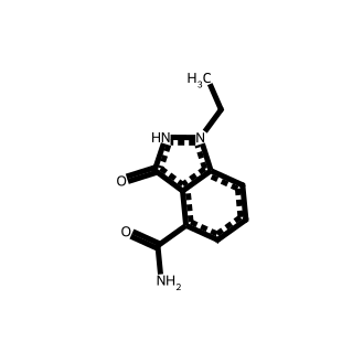 CCn1[nH]c(=O)c2c(C(N)=O)[c]ccc21